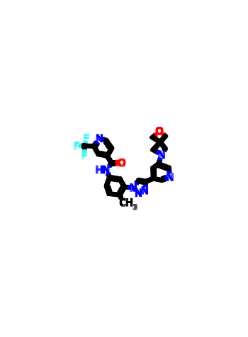 Cc1ccc(NC(=O)c2ccnc(C(F)(F)F)c2)cc1-n1cc(-c2cncc(N3CC4(COC4)C3)c2)nn1